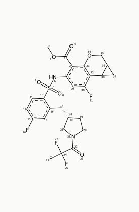 COC(=O)c1c(NS(=O)(=O)c2ccc(F)cc2C[C@@H]2CCN(C(=O)C(F)(F)F)C2)cc(F)c2c1OCC1CC21